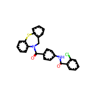 O=C(Nc1ccc(C(=O)N2Cc3ccccc3Sc3ccccc32)cc1)c1ccccc1Cl